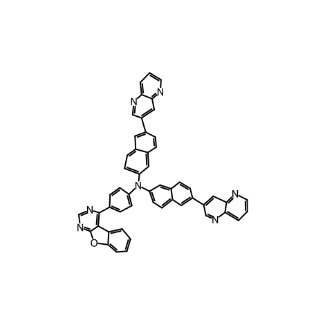 c1cnc2cc(-c3ccc4cc(N(c5ccc(-c6ncnc7oc8ccccc8c67)cc5)c5ccc6cc(-c7cnc8cccnc8c7)ccc6c5)ccc4c3)cnc2c1